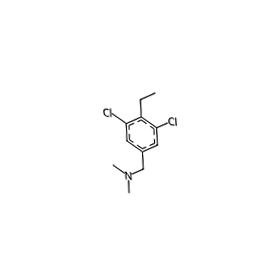 CCc1c(Cl)cc(CN(C)C)cc1Cl